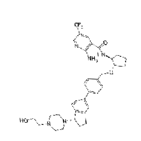 Nc1ncc(C(F)(F)F)cc1C(=O)N[C@H]1CCC[C@@H]1OCc1ccc(-c2ccc3c(c2)CC[C@@H]3N2CCN(CCO)CC2)cc1